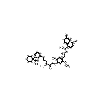 COc1cc(OCC(=O)N(C)CCCc2cccc(C3(C(=O)O)CCCCC3)c2)c(Cl)cc1CNC[C@H](O)c1ccc(O)c2[nH]c(=O)ccc12